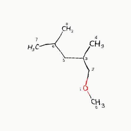 COCC(C)[CH]C(C)C